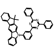 CC1(C)C2=CCCC=C2c2cc3c4ccccc4n(-c4cccc(-c5nc(-c6ccccc6)nc(-c6ccccc6)n5)c4)c3cc21